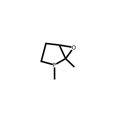 CP1CCC2OC21C